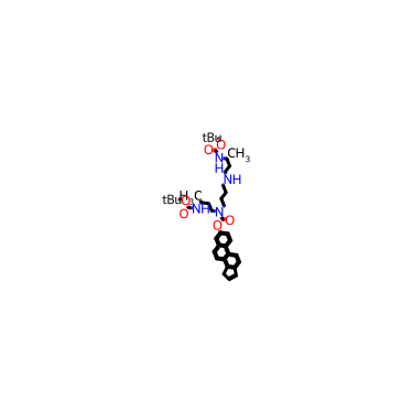 CC(CCNCCCCN(CCC(C)NC(=O)OC(C)(C)C)C(=O)Oc1ccc2c(ccc3c4c(ccc32)C=CC4)c1)NC(=O)OC(C)(C)C